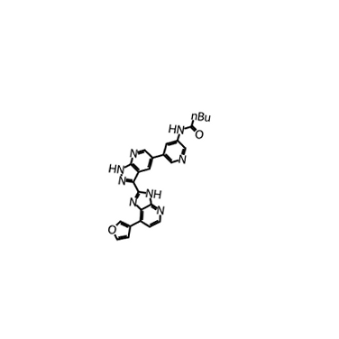 CCCCC(=O)Nc1cncc(-c2cnc3[nH]nc(-c4nc5c(-c6ccoc6)ccnc5[nH]4)c3c2)c1